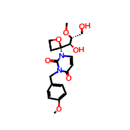 COc1ccc(Cn2c(=O)ccn([C@]3([C@H](O)[C@@H](CO)OC)CCO3)c2=O)cc1